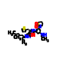 CCNc1cc(C(=O)N[C@@H](Cc2cccs2)[C@H](O)CNC(C)CCCC(C)C)cc(N2CCCCS2(=O)=O)c1